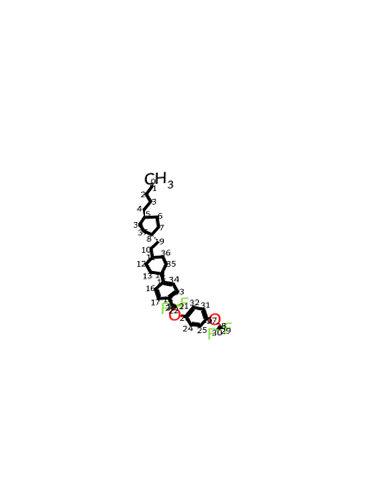 CCCCC[C@H]1CC[C@H](CCC2CCC(c3ccc(C(F)(F)Oc4ccc(OC(F)F)cc4)cc3)CC2)CC1